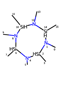 CN1[SiH](C)N(C)[SiH](C)N(C)[SiH](C)N(C)[SiH]1C